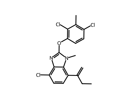 C=C(CC)c1ccc(Cl)c2nc(Oc3ccc(Cl)c(C)c3Cl)n(C)c12